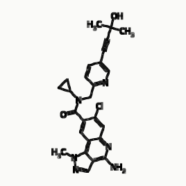 Cn1ncc2c(N)nc3cc(Cl)c(C(=O)N(Cc4ccc(C#CC(C)(C)O)cn4)C4CC4)cc3c21